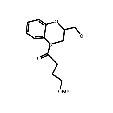 COCCCC(=O)N1CC(CO)Oc2ccccc21